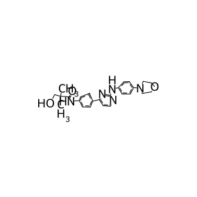 CC(C)(CO)C(=O)Nc1ccc(-c2ccnc(Nc3ccc(N4CCOCC4)cc3)n2)cc1